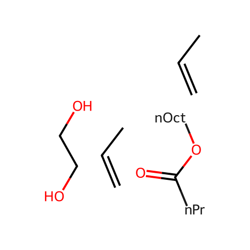 C=CC.C=CC.CCCCCCCCOC(=O)CCC.OCCO